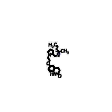 C=CS/C(C)=N\CC1CCCN1CCOc1ccc2c(c1)CCC(=O)N2